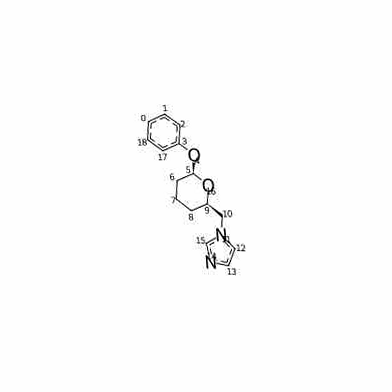 c1ccc(O[C@@H]2CCC[C@H](Cn3ccnc3)O2)cc1